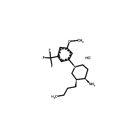 CCCC[C@H]1CN(c2cc(OC)cc(C(F)(F)F)c2)CC[C@H]1N.Cl